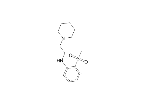 CS(=O)(=O)c1[c]cccc1NCCN1CCCCC1